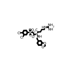 N=C(N)NCCC[C@@H](C(=O)O)N(NCc1ccc2c(c1)OCO2)C(=O)CS(=O)(=O)c1ccc(Cl)c(Cl)c1